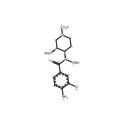 CO[C@H]1CN(C(=O)O)CC[C@H]1N(OC)C(=O)c1ccc(N)c(Cl)c1